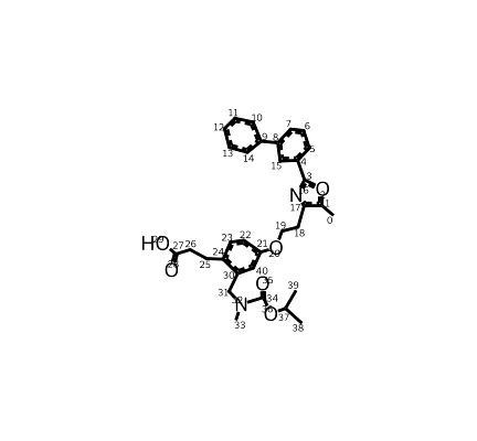 Cc1oc(-c2cccc(-c3ccccc3)c2)nc1CCOc1ccc(CCC(=O)O)c(CN(C)C(=O)OC(C)C)c1